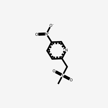 CS(=O)(=O)Cc1ccc([N+](=O)[O-])cn1